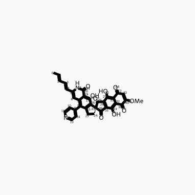 C/C=C/C=C/c1cc2c(-c3ccncc3)c3c(c(O)c2c(=O)[nH]1)[C@@]1(CC3)C(=O)c2c(O)c3c(c(O)c2C1=O)C(=O)C(OC)=CC3=O